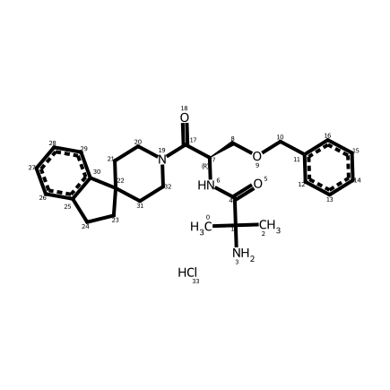 CC(C)(N)C(=O)N[C@H](COCc1ccccc1)C(=O)N1CCC2(CCc3ccccc32)CC1.Cl